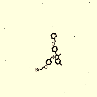 Cc1ccc2c(c1)c(C)c(-c1ccc(OCc3ccccc3)cc1)n2Cc1ccc(OCCBr)cc1